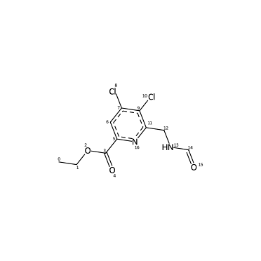 CCOC(=O)c1cc(Cl)c(Cl)c(CNC=O)n1